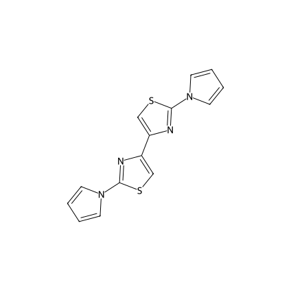 c1ccn(-c2nc(-c3csc(-n4cccc4)n3)cs2)c1